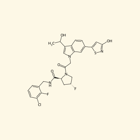 CC(O)c1cn(CC(=O)N2C[C@H](F)C[C@H]2C(=O)NCc2cccc(Cl)c2F)c2cc(-c3cc(O)ns3)ccc12